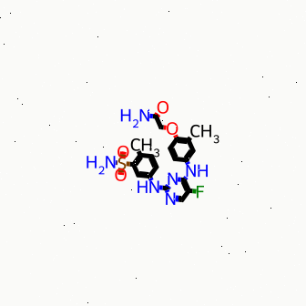 Cc1cc(Nc2nc(Nc3ccc(C)c(S(N)(=O)=O)c3)ncc2F)ccc1OCC(N)=O